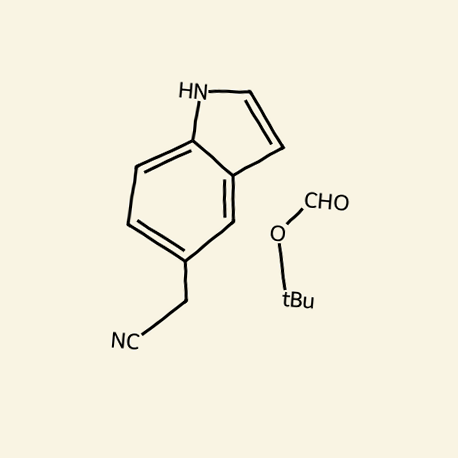 CC(C)(C)OC=O.N#CCc1ccc2[nH]ccc2c1